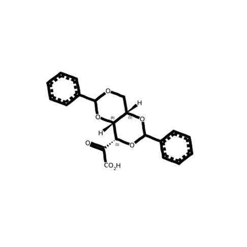 O=C(O)C(=O)[C@H]1OC(c2ccccc2)O[C@H]2COC(c3ccccc3)O[C@H]21